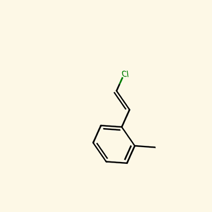 Cc1ccccc1C=CCl